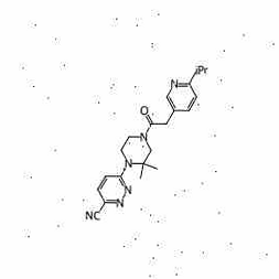 CC(C)c1ccc(CC(=O)N2CCN(c3ccc(C#N)nn3)C(C)(C)C2)cn1